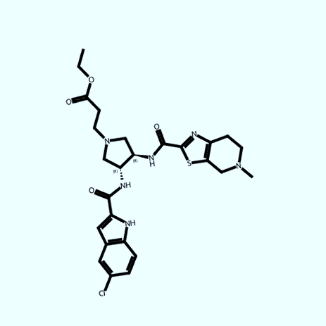 CCOC(=O)CCN1C[C@@H](NC(=O)c2cc3cc(Cl)ccc3[nH]2)[C@H](NC(=O)c2nc3c(s2)CN(C)CC3)C1